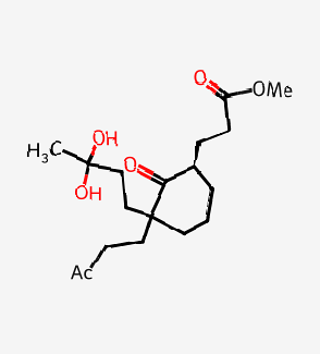 COC(=O)CC[C@H]1CCCC(CCC(C)=O)(CCC(C)(O)O)C1=O